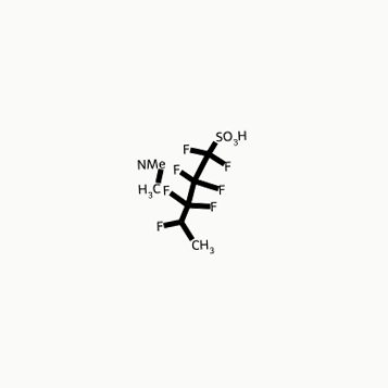 CC(F)C(F)(F)C(F)(F)C(F)(F)S(=O)(=O)O.CNC